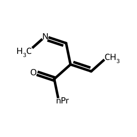 C/C=C(\C=N/C)C(=O)CCC